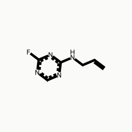 C=CCNc1n[c]nc(F)n1